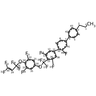 CCCc1ccc(-c2ccc(-c3cc(F)c(C(F)(F)Oc4cc(F)c(OC(F)(F)C=C(F)F)c(F)c4)c(F)c3)c(F)c2)cc1